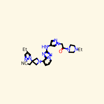 CCc1cnn(C2(CC#N)CN(c3cccn4nc(Nc5cnn(CC(=O)N6CCN(CC)CC6)c5)nc34)C2)c1